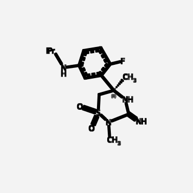 CC(C)Nc1ccc(F)c([C@]2(C)CS(=O)(=O)N(C)C(=N)N2)c1